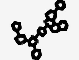 c1ccc(-c2cccc(-c3cc(-c4ccccc4)nc(-c4ccc(-c5nc6ccc(-c7ccccc7)cc6c6c5ccc5ccccc56)cc4)n3)c2)cc1